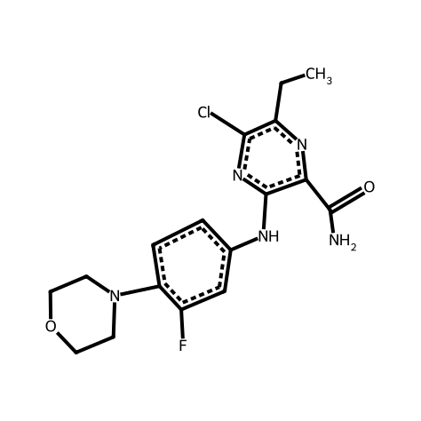 CCc1nc(C(N)=O)c(Nc2ccc(N3CCOCC3)c(F)c2)nc1Cl